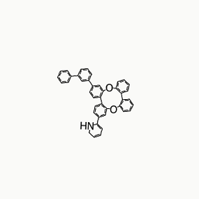 C1=CCNC(c2ccc3c(c2)Oc2ccccc2-c2ccccc2Oc2cc(-c4cccc(-c5ccccc5)c4)ccc2-3)=C1